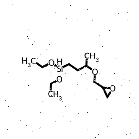 CCO[SiH](CCC(C)OCC1CO1)OCC